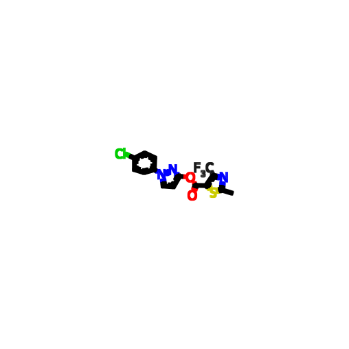 Cc1nc(C(F)(F)F)c(C(=O)Oc2ccn(-c3ccc(Cl)cc3)n2)s1